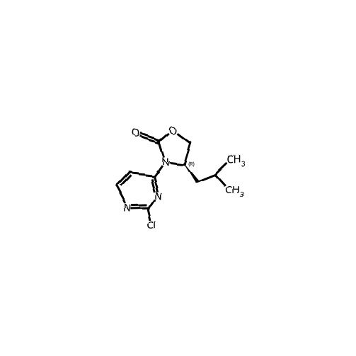 CC(C)C[C@@H]1COC(=O)N1c1ccnc(Cl)n1